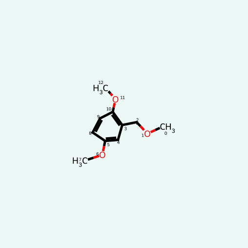 CO[CH]c1cc(OC)ccc1OC